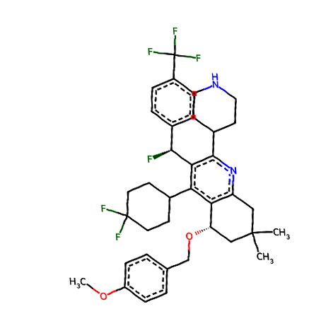 COc1ccc(CO[C@H]2CC(C)(C)Cc3nc(C4CCNCC4)c([C@@H](F)c4ccc(C(F)(F)F)cc4)c(C4CCC(F)(F)CC4)c32)cc1